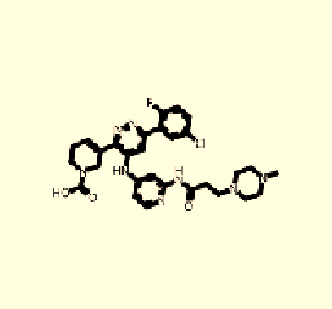 CN1CCN(CCC(=O)Nc2cc(Nc3cc(-c4cc(Cl)ccc4F)nnc3C3=CCCN(C(=O)O)C3)ccn2)CC1